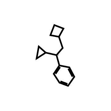 c1ccc([C](CC2CCC2)C2CC2)cc1